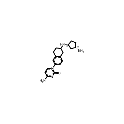 Nc1ccn(-c2ccc3c(c2)CCC(N[C@@H]2CC[C@H](N)C2)C3)c(=O)n1